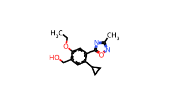 CCOc1cc(-c2nc(C)no2)c(C2CC2)cc1CO